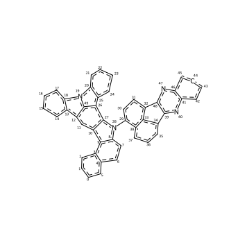 c1ccc2c(c1)ccc1c2c2cc3c4ccccc4n4c5ccccc5c(c2n1-c1ccc2c5c(cccc15)-c1nc5ccccc5nc1-2)c34